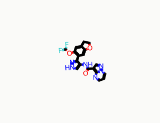 O=C(Nc1c[nH]nc1-c1cc2c(cc1OC(F)F)CCO2)c1cnn2cccnc12